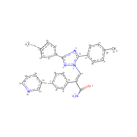 NC(=O)C(=Cn1nc(-c2ccc(C(F)(F)F)cc2)nc1-c1ccc(C(F)(F)F)cc1)c1ccc(-c2cccnc2)cc1